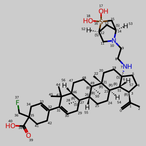 C=C(C)[C@@H]1CC[C@]2(NCCN3C[C@@H]4C[C@H]3CS4(O)O)CC[C@]3(C)[C@H](CC[C@@H]4[C@@]5(C)CC=C(C6=CCC(CF)(C(=O)O)CC6)C(C)(C)[C@@H]5CC[C@]43C)[C@@H]12